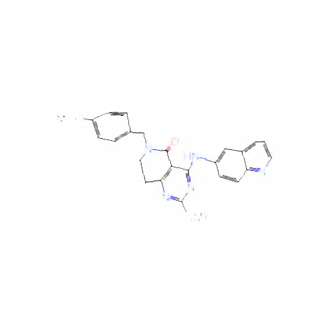 COc1ccc(CN2CCc3nc(SC)nc(Nc4ccc5ncccc5c4)c3C2=O)cc1